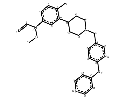 CON(C=O)c1ccc(C)c(C2CCN(Cc3ccc(Sc4ccncc4)nc3)CC2)c1